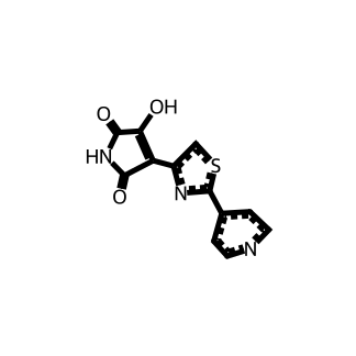 O=C1NC(=O)C(c2csc(-c3ccncc3)n2)=C1O